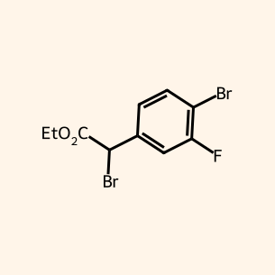 CCOC(=O)C(Br)c1ccc(Br)c(F)c1